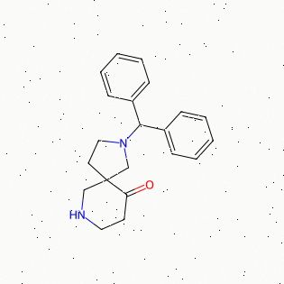 O=C1CCNCC12CCN(C(c1ccccc1)c1ccccc1)C2